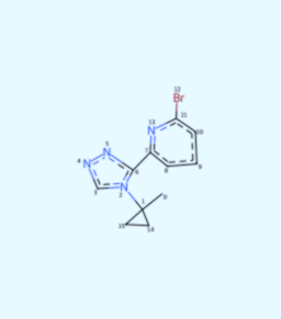 CC1(n2cnnc2-c2cccc(Br)n2)CC1